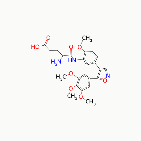 COc1ccc(-c2cnoc2-c2cc(OC)c(OC)c(OC)c2)cc1NC(=O)C(N)CCC(=O)O